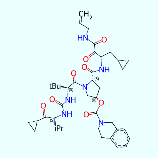 C=CCNC(=O)C(=O)C(CC1CC1)NC(=O)[C@@H]1C[C@@H](OC(=O)N2CCc3ccccc3C2)CN1C(=O)[C@@H](NC(=O)N[C@H](C(=O)C1CC1)C(C)C)C(C)(C)C